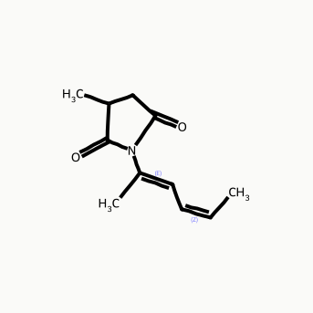 C/C=C\C=C(/C)N1C(=O)CC(C)C1=O